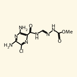 COC(=O)NN=CNC(=O)c1nc(Cl)c(N)nc1N